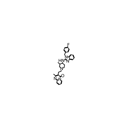 Cc1nc2ccccn2c(=O)c1CCN1CCC(Nc2nc3ccccc3n2Cc2ccc(F)cc2)C(C)C1